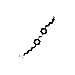 CCCCCCC[C@H]1CC[C@H](CC[C@H]2CC[C@H](CCC=CC#N)CC2)CC1